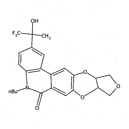 CCCCn1c(=O)c2cc3c(cc2c2cc(C(C)(O)C(F)(F)F)ccc21)OC1COCC1O3